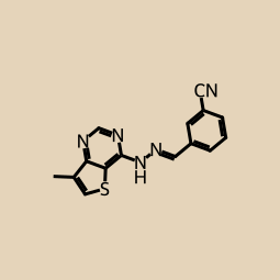 Cc1csc2c(NN=Cc3cccc(C#N)c3)ncnc12